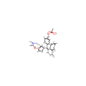 CC(=O)Oc1ccc(C(=C2CCC(C)c3ccccc32)c2ccc(OC(C)N(C)C)cc2)cc1